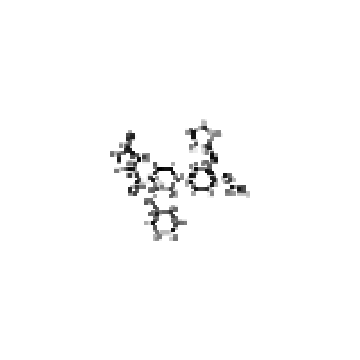 COc1ccc(N2CCN(C(=O)[C@H]3CCC(=O)N3)[C@@H](Cc3ccccc3)C2)cc1OC1CCCC1